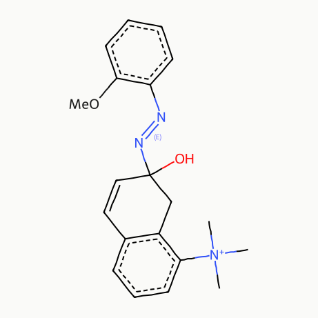 COc1ccccc1/N=N/C1(O)C=Cc2cccc([N+](C)(C)C)c2C1